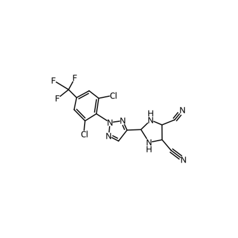 N#CC1NC(c2cnn(-c3c(Cl)cc(C(F)(F)F)cc3Cl)n2)NC1C#N